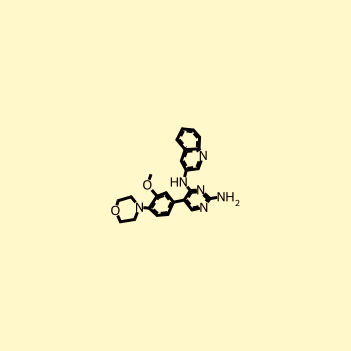 COc1cc(-c2cnc(N)nc2Nc2cnc3ccccc3c2)ccc1N1CCOCC1